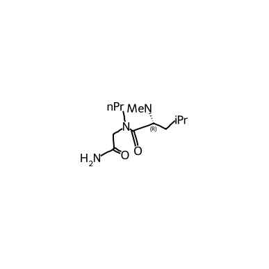 CCCN(CC(N)=O)C(=O)[C@@H](CC(C)C)NC